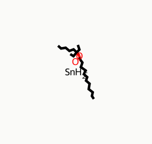 CCCCCCCCCCCC(=O)OC(CC)(CC)CCCCC.[SnH2]